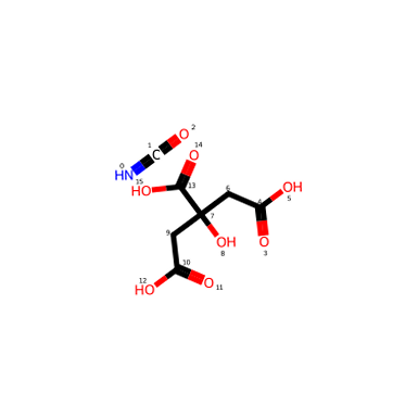 N=C=O.O=C(O)CC(O)(CC(=O)O)C(=O)O